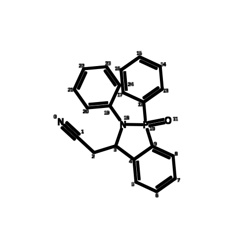 N#CCC1c2ccccc2P(=O)(c2ccccc2)N1c1ccccc1